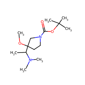 COC1(C(C)N(C)C)CCN(C(=O)OC(C)(C)C)C1